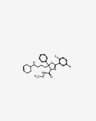 CONC(=O)N1N=C(c2cc(F)ccc2F)SC1(CCCNC1CC=CCC1)c1ccccc1